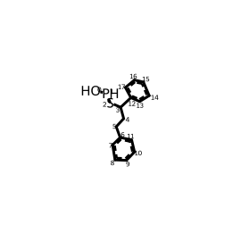 OPSC(CCc1ccccc1)c1ccccc1